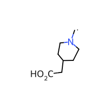 [CH2]N1CCC(CC(=O)O)CC1